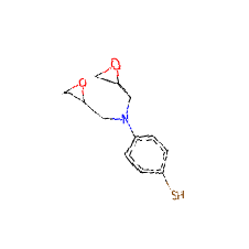 Sc1ccc(N(CC2CO2)CC2CO2)cc1